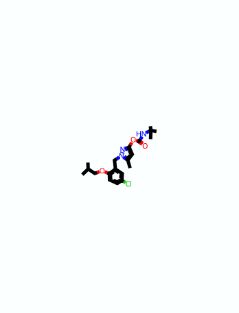 Cc1cc(OC(=O)NC(C)(C)C)nn1Cc1cc(Cl)ccc1OCC(C)C